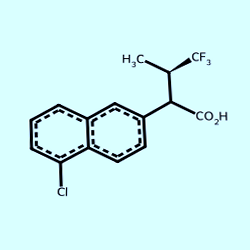 C[C@H](C(C(=O)O)c1ccc2c(Cl)cccc2c1)C(F)(F)F